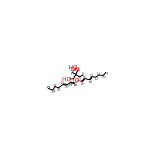 CCC(CO)(CO)CO.CCCCC=CC=COC=CC=CCCCC